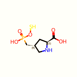 O=C(O)[C@@H]1C[C@@H](CP(=O)(O)OS)CN1